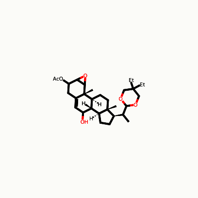 CCC1(CC)COC(C(C)[C@H]2CC[C@H]3[C@@H]4C(O)C=C5CC(OC(C)=O)C6OC6[C@]5(C)[C@H]4CC[C@]23C)OC1